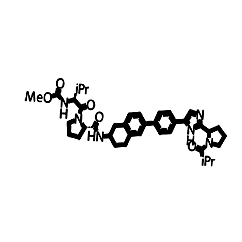 COC(=O)N[C@H](C(=O)N1CCC[C@H]1C(=O)NC1CCc2cc(-c3ccc(-c4cnc(C5CCCN5C(=O)C(C)C)[nH]4)cc3)ccc2C1)C(C)C